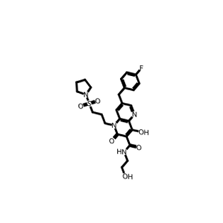 O=C(NCCO)c1c(O)c2ncc(Cc3ccc(F)cc3)cc2n(CCCS(=O)(=O)N2CCCC2)c1=O